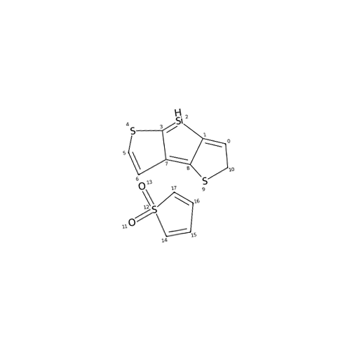 C1=C2[SiH]=c3sccc3=C2SC1.O=S1(=O)C=CC=C1